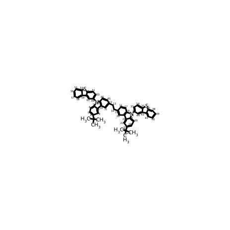 CC(C)(C)c1ccc2c(c1)c1cc(CCc3ccc4c(c3)c3cc(C(C)(C)C)ccc3n4-c3ccc4sc5ccccc5c4c3)ccc1n2-c1ccc2sc3ccccc3c2c1